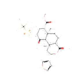 COC(=O)[C@@H]1C[C@@H](OS(=O)(=O)C(F)(F)F)C(=O)C2[C@@]3(C)C[C@@H](c4ccoc4)OC(=O)C3CC[C@]21C